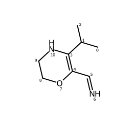 CC(C)C1=C(C=N)OCCN1